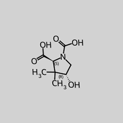 CC1(C)[C@@H](O)CN(C(=O)O)[C@@H]1C(=O)O